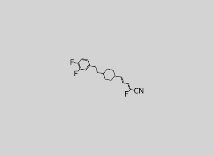 N#CC(F)=CC=CC1CCC(CCc2ccc(F)c(F)c2)CC1